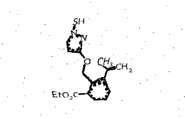 C=C(C)c1cccc(C(=O)OCC)c1COc1ccn(S)n1